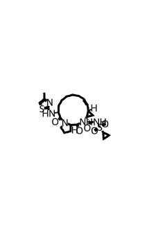 Cc1csc(N[C@H]2CCCCC/C=C\[C@@H]3C[C@@]3(C(=O)NS(=O)(=O)C3CC3)NC(=O)[C@@H]3CCCN3C2=O)n1